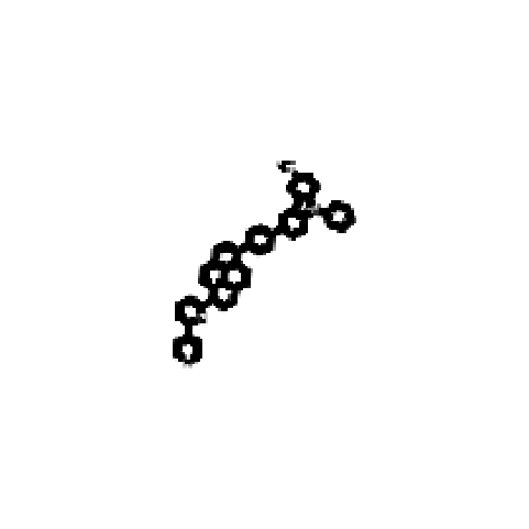 N#Cc1ccc2c(c1)c1cc(-c3ccc(-c4ccc5ccc6c(-c7cccc(-c8ccncc8)n7)ccc7ccc4c5c76)cc3)ccc1n2-c1ccccc1